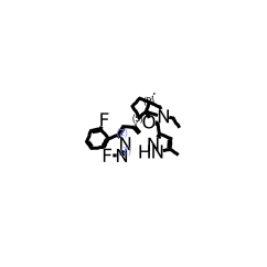 C=C(/C=C(\N=N/C)c1c(F)cccc1F)[C@@H]1CC[C@@](C)(CN(CC)C(=O)c2cc(C)[nH]n2)C1(C)C